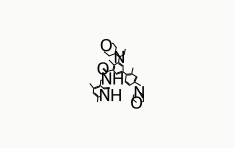 C=C1NC(C)=CC(C)=C1CNC(=O)c1cc(-c2ccc(CN3CCOCC3)cc2C)cc(N(CC)C2CCOCC2)c1C